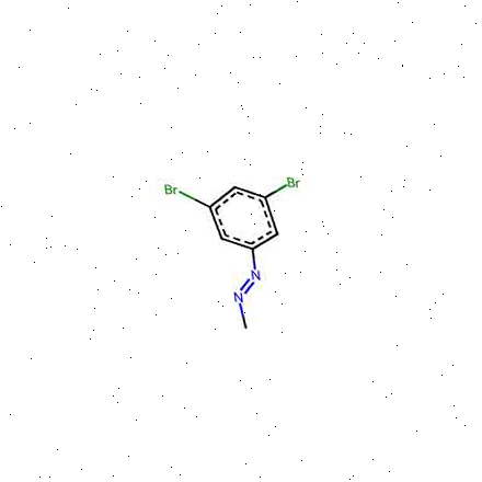 CN=Nc1cc(Br)cc(Br)c1